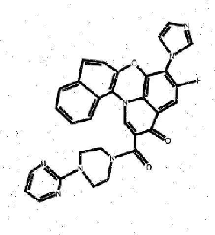 O=C(c1cn2c3c(c(-n4ccnc4)c(F)cc3c1=O)Oc1ccc3ccccc3c1-2)N1CCN(c2ncccn2)CC1